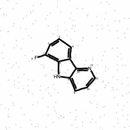 Fc1cccc2c1[nH]c1cccnc12